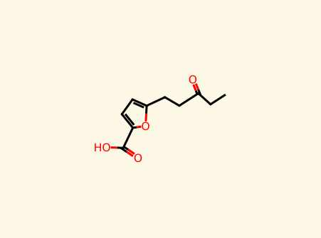 CCC(=O)CCc1ccc(C(=O)O)o1